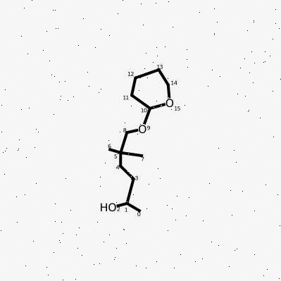 CC(O)CCC(C)(C)COC1CCCCO1